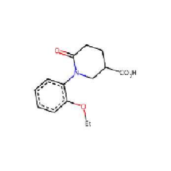 CCOc1ccccc1N1CC(C(=O)O)CCC1=O